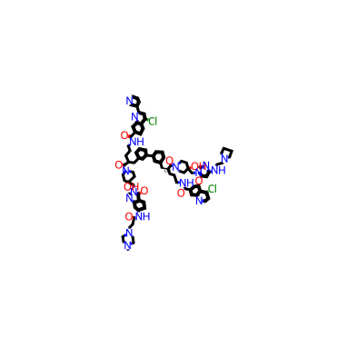 CN1CCN(CCC(=O)Nc2ccc3c(=O)n(CC4(O)CCN(C(=O)C(CCCNC(=O)c5ccc6c(Cl)cc(-c7cccnc7)nc6c5)Cc5cccc(-c6cccc(C[C@H](CCCNC(=O)c7ccc8c(Cl)ccnc8c7)C(=O)N7CCC(O)(Cn8cnc(NCCN9CCCC9)cc8=O)CC7)c6)c5)CC4)cnc3c2)CC1